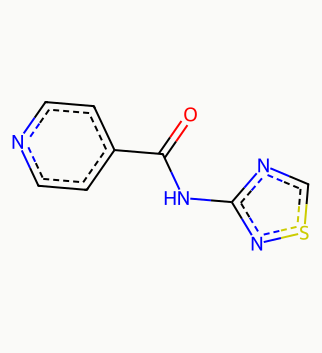 O=C(Nc1ncsn1)c1ccncc1